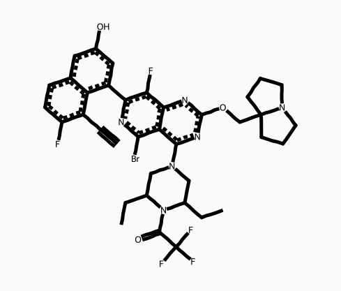 C#Cc1c(F)ccc2cc(O)cc(-c3nc(Br)c4c(N5CC(CC)N(C(=O)C(F)(F)F)C(CC)C5)nc(OCC56CCCN5CCC6)nc4c3F)c12